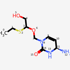 CCSC(CO)OCN1C=C[C@@H](N)NC1=O